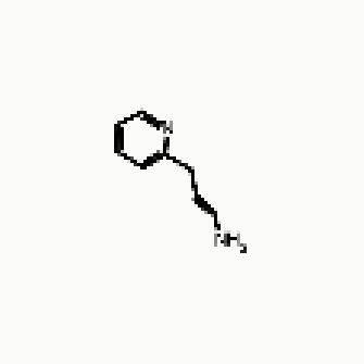 N/C=C/Cc1ccccn1